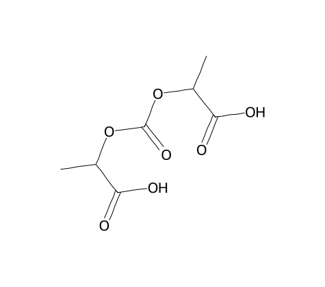 CC(OC(=O)OC(C)C(=O)O)C(=O)O